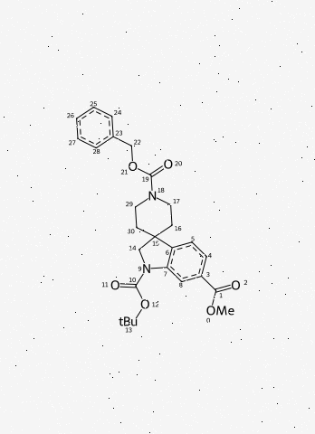 COC(=O)c1ccc2c(c1)N(C(=O)OC(C)(C)C)CC21CCN(C(=O)OCc2ccccc2)CC1